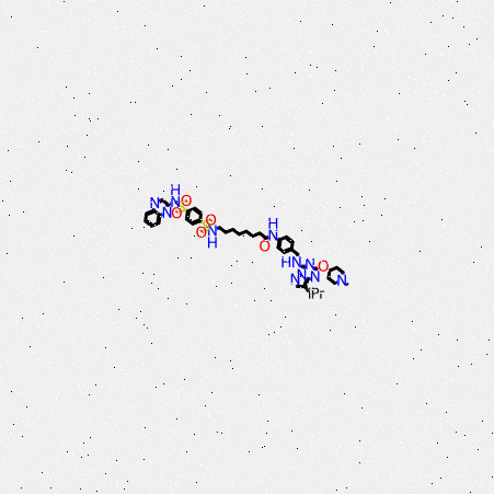 CC(C)c1cnn2c(NCc3ccc(NC(=O)CCCCCCCNS(=O)(=O)c4ccc(S(=O)(=O)Nc5cnc6ccccc6n5)cc4)cc3)nc(OC3CCN(C)CC3)nc12